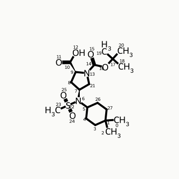 CC1(C)CCC(N([C@H]2C[C@@H](C(=O)O)N(C(=O)OC(C)(C)C)C2)S(C)(=O)=O)CC1